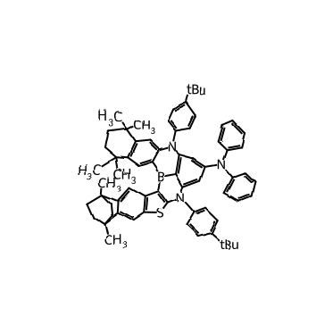 CC(C)(C)c1ccc(N2c3cc4c(cc3B3c5c2cc(N(c2ccccc2)c2ccccc2)cc5N(c2ccc(C(C)(C)C)cc2)c2sc5cc6c(cc5c23)C2(C)CCC6(C)CC2)C(C)(C)CCC4(C)C)cc1